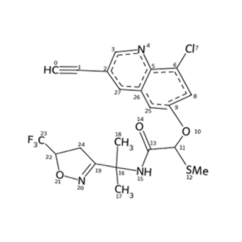 C#Cc1cnc2c(Cl)cc(OC(SC)C(=O)NC(C)(C)C3=NOC(C(F)(F)F)C3)cc2c1